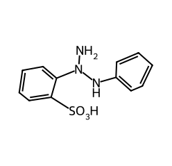 NN(Nc1ccccc1)c1ccccc1S(=O)(=O)O